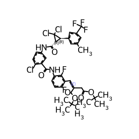 Cc1cc([C@H]2[C@H](C(=O)Nc3ccc(Cl)c(C(=O)Nc4ccc(F)c(/C=C(/CC(=O)OC(C)(C)C)C(=O)OC(C)(C)C)c4F)c3)C2(Cl)Cl)cc(C(F)(F)F)c1